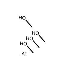 CO.CO.CO.CO.[Al]